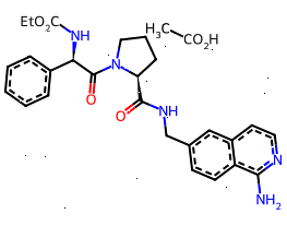 CC(=O)O.CCOC(=O)N[C@@H](C(=O)N1CCC[C@H]1C(=O)NCc1ccc2c(N)nccc2c1)c1ccccc1